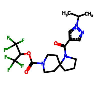 CC(C)n1cc(C(=O)N2CCCC23CCN(C(=O)OC(C(F)(F)F)C(F)(F)F)CC3)cn1